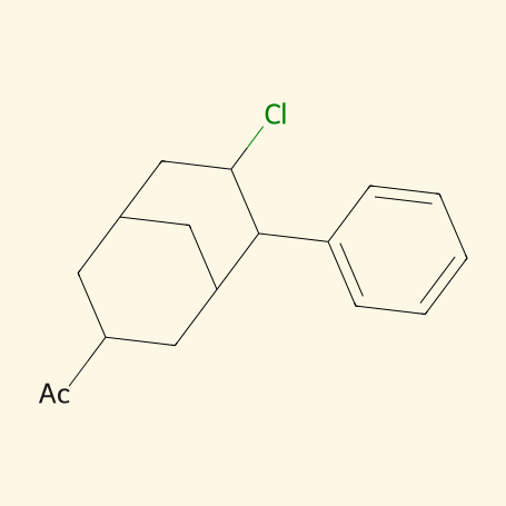 CC(=O)C1CC2CC(Cl)C(c3ccccc3)C(C2)C1